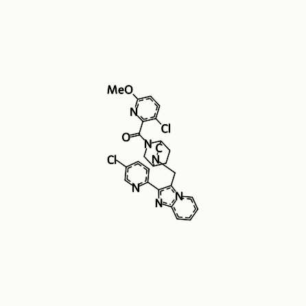 COc1ccc(Cl)c(C(=O)N2CC3CCC2CN3Cc2c(-c3ccc(Cl)cn3)nc3ccccn23)n1